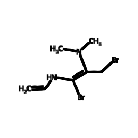 C=CN/C(Br)=C(/CBr)N(C)C